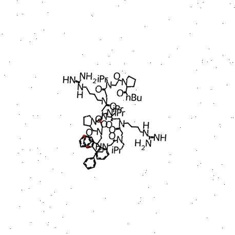 CCCCC(=O)C1CCCN1C(=O)CN(C(=O)CN(CCCCNC(=N)N)C(=O)CN(CC(C)C)C(=O)CN(CC(c1ccccc1)c1ccccc1)C(=O)C1CCCN1C(=O)CN(C(=O)CN(CCCCNC(=N)N)C(=O)CN(CC(C)C)C(=O)CNCC(c1ccccc1)c1ccccc1)C(C)C)C(C)C